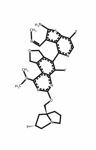 C/N=C\c1c(N)sc2c(F)cnc(-c3c4c(c5c(N(C)C)nc(OC[C@@]67CCCN6C[C@H](F)C7)nc5c3F)COC4)c12